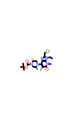 CCn1c(CCl)nc2c(N3C[C@@H](C)N(C(=O)OC(C)(C)C)C[C@@H]3C)c(F)c(=O)n(C)c21